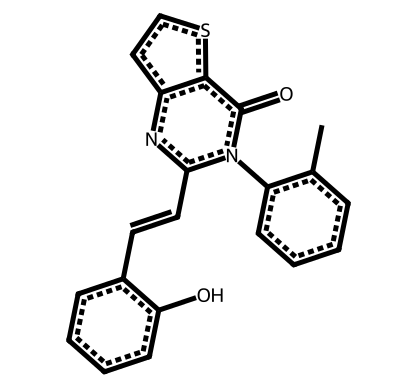 Cc1ccccc1-n1c(C=Cc2ccccc2O)nc2ccsc2c1=O